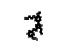 CCCc1sc(-c2ccc(OC)c(OCCO)c2)nc1CSc1nccc(N)n1